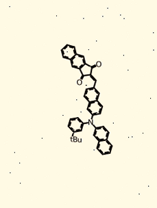 CC(C)(C)c1cccc(N(c2ccc3ccccc3c2)c2ccc3cc(C=C4C(=O)c5cc6ccccc6cc5C4=O)ccc3c2)c1